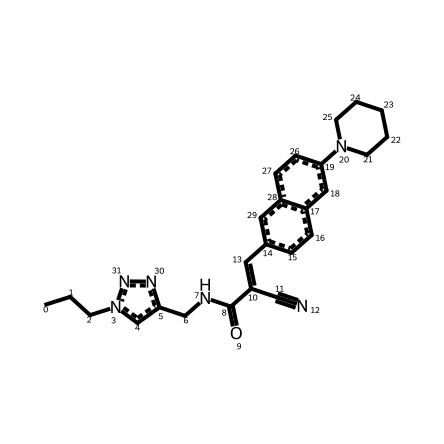 CCCn1cc(CNC(=O)/C(C#N)=C/c2ccc3cc(N4CCCCC4)ccc3c2)nn1